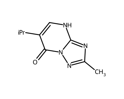 Cc1nc2[nH]cc(C(C)C)c(=O)n2n1